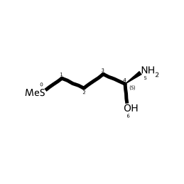 CSCCC[C@@H](N)O